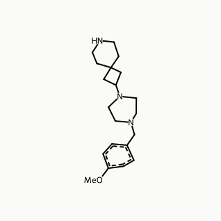 COc1ccc(CN2CCN(C3CC4(CCNCC4)C3)CC2)cc1